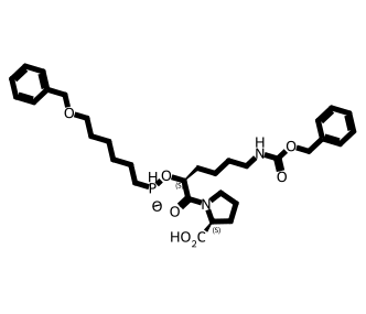 O=C(NCCCC[C@H](O[PH](=O)CCCCCCOCc1ccccc1)C(=O)N1CCC[C@H]1C(=O)O)OCc1ccccc1